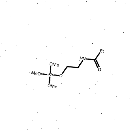 CCC(=O)NCCO[Si](OC)(OC)OC